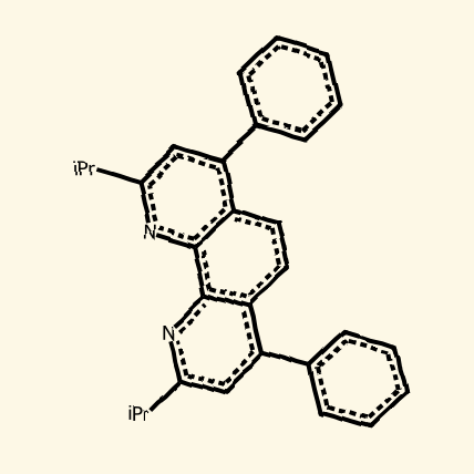 CC(C)c1cc(-c2ccccc2)c2ccc3c(-c4ccccc4)cc(C(C)C)nc3c2n1